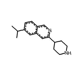 CC(C)c1ccc2cnc(C3CCNCC3)cc2c1